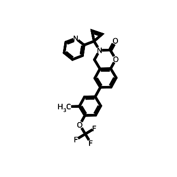 Cc1cc(-c2ccc3c(c2)CN(C2(c4ccccn4)C=C2)C(=O)O3)ccc1OC(F)(F)F